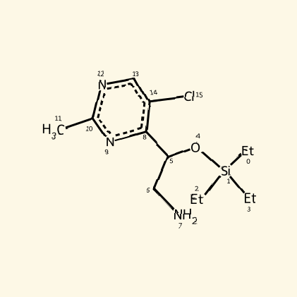 CC[Si](CC)(CC)OC(CN)c1nc(C)ncc1Cl